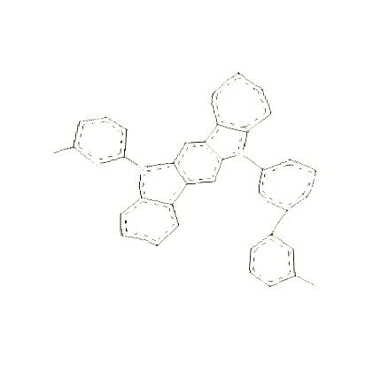 Cc1cccc(-c2cccc(-n3c4ccccc4c4cc5c(cc43)c3ccccc3n5-c3cccc(C)n3)c2)c1